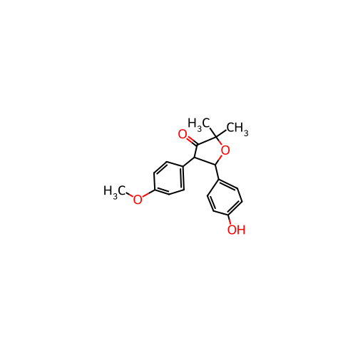 COc1ccc(C2C(=O)C(C)(C)OC2c2ccc(O)cc2)cc1